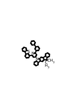 CC1(C)c2ccccc2-c2cc3c(cc21)c1ccccc1n3-c1cc(-c2cccc(-c3ccccc3)c2)nc(-c2cccc3c2sc2ccccc23)c1